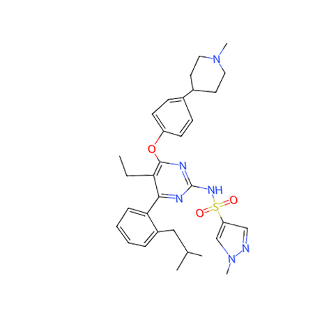 CCc1c(Oc2ccc(C3CCN(C)CC3)cc2)nc(NS(=O)(=O)c2cnn(C)c2)nc1-c1ccccc1CC(C)C